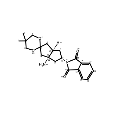 CC1(C)COC2(C[C@H]3C[C@H](N4C(=O)c5ccccc5C4=O)C[C@@]3(N)C2)OC1